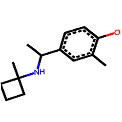 Cc1cc(C(C)NC2(C)CCC2)ccc1O